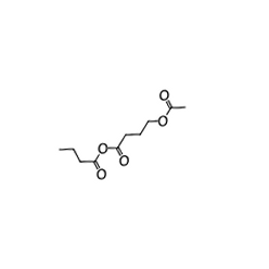 CCCC(=O)OC(=O)CCCOC(C)=O